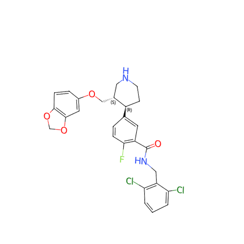 O=C(NCc1c(Cl)cccc1Cl)c1cc([C@@H]2CCNC[C@H]2COc2ccc3c(c2)OCO3)ccc1F